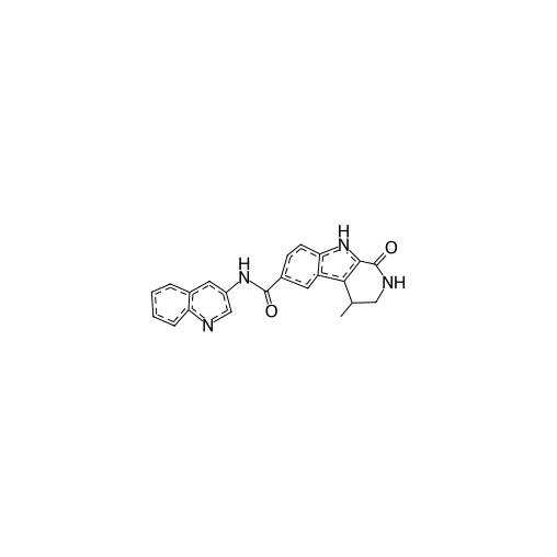 CC1CNC(=O)c2[nH]c3ccc(C(=O)Nc4cnc5ccccc5c4)cc3c21